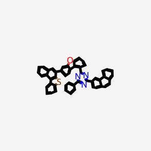 c1ccc(-c2nc(-c3ccc4ccc5ccccc5c4c3)nc(-c3cccc4oc5cc(-c6cc7ccccc7c7c6sc6ccccc67)ccc5c34)n2)cc1